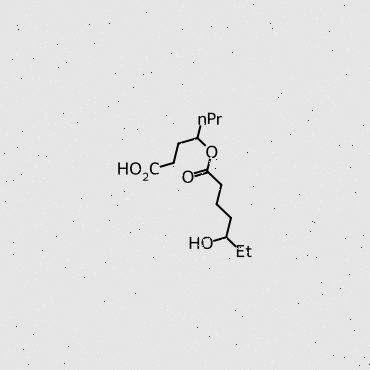 CCCC(CCC(=O)O)OC(=O)CCCC(O)CC